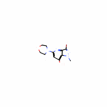 C[C@@H]1COCCN1c1cc(O)c2c(n1)c(Br)nn2C